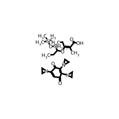 CC/C(OC(CC)[SiH2]O[Si](C)(C)C)=C(/C)C(=O)O.O=C1C=C(N2CC2)C(=O)C(N2CC2)=C1N1CC1